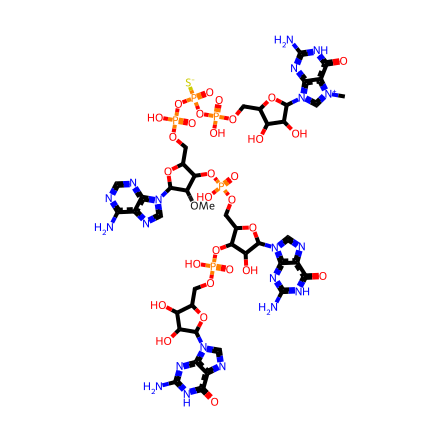 COC1C(OP(=O)(O)OCC2OC(n3cnc4c(=O)[nH]c(N)nc43)C(O)C2OP(=O)(O)OCC2OC(n3cnc4c(=O)[nH]c(N)nc43)C(O)C2O)C(COP(=O)(O)OP(=O)([S-])OP(=O)(O)OCC2OC(n3c[n+](C)c4c(=O)[nH]c(N)nc43)C(O)C2O)OC1n1cnc2c(N)ncnc21